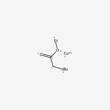 CCCCCC(=O)OCC.[Cu+2]